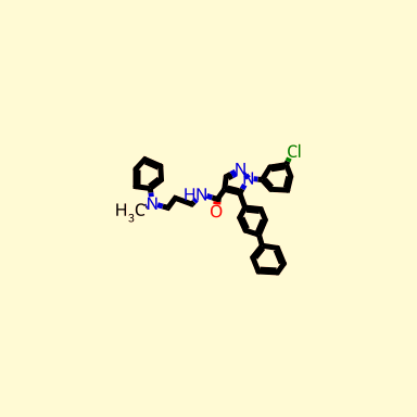 CN(CCCNC(=O)c1cnn(-c2cccc(Cl)c2)c1-c1ccc(-c2ccccc2)cc1)c1ccccc1